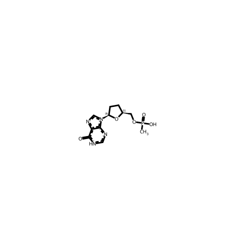 CP(=O)(O)OC[C@@H]1CC[C@H](n2cnc3c(=O)[nH]cnc32)O1